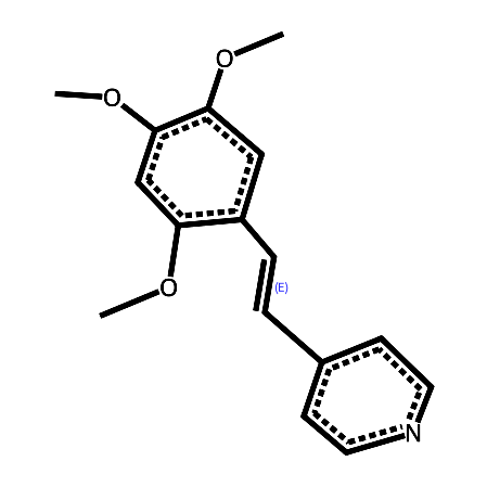 COc1cc(OC)c(OC)cc1/C=C/c1ccncc1